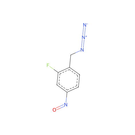 [N-]=[N+]=NCc1ccc(N=O)cc1F